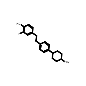 CCCC1CCC(c2ccc(CCc3ccc(C#N)c(F)c3)cc2)CC1